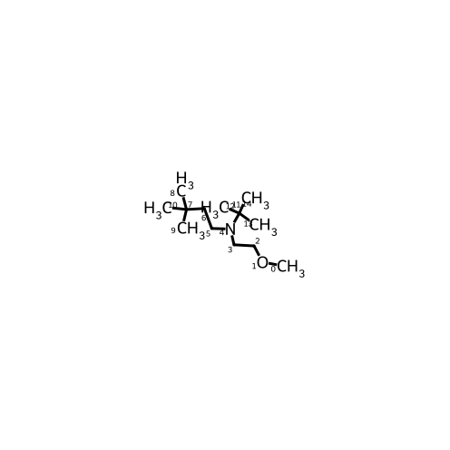 COCCN(CCC(C)(C)C)C(C)(C)C